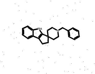 c1ccc(CN2CCC3(CCc4c3[nH]c3ccccc43)CC2)cc1